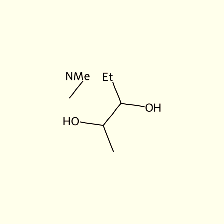 CCC(O)C(C)O.CNC